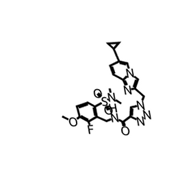 COc1ccc(S(=O)(=O)N(C)C)c(CNC(=O)c2cn(Cc3cn4cc(C5CC5)ccc4n3)nn2)c1F